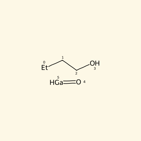 CCCCO.[O]=[GaH]